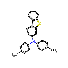 Cc1ccc(N(c2ccc(C)cc2)c2ccc3c(c2)sc2ccccc23)cc1